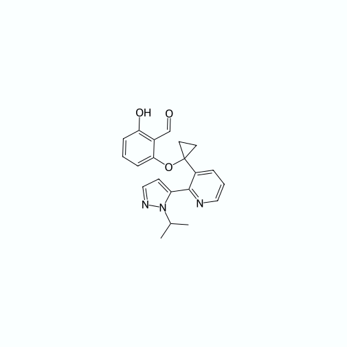 CC(C)n1nccc1-c1ncccc1C1(Oc2cccc(O)c2C=O)CC1